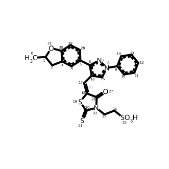 CC1Cc2cc(-c3nn(-c4ccccc4)cc3/C=C3/SC(=S)N(CCS(=O)(=O)O)C3=O)ccc2O1